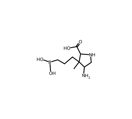 CC1(CCCB(O)O)C(N)CNC1C(=O)O